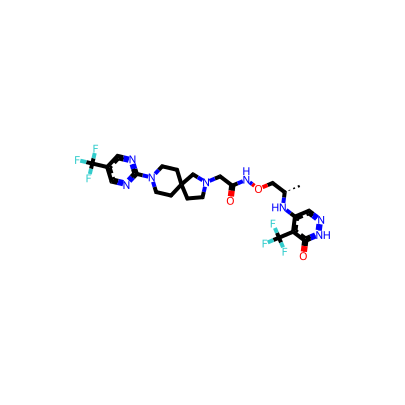 C[C@@H](CONC(=O)CN1CCC2(CCN(c3ncc(C(F)(F)F)cn3)CC2)C1)Nc1cn[nH]c(=O)c1C(F)(F)F